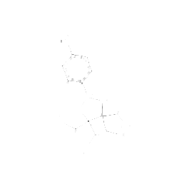 CC(C)c1ccc(B2OC(CO)(CO)C(CO)(CO)O2)cc1